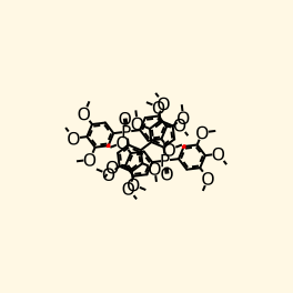 COc1cc(P(=O)(c2cc(OC)c(OC)c(OC)c2)c2cc(OC)c(OC)c(OC)c2-c2c(P(=O)(c3cc(OC)c(OC)c(OC)c3)c3cc(OC)c(OC)c(OC)c3)cc(OC)c(OC)c2OC)cc(OC)c1OC